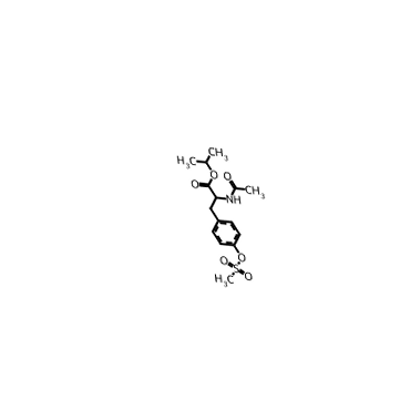 CC(=O)NC(Cc1ccc(OS(C)(=O)=O)cc1)C(=O)OC(C)C